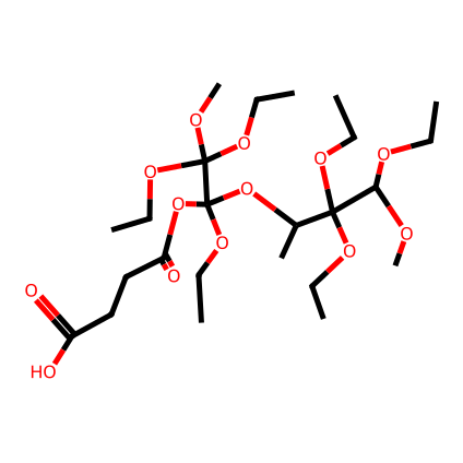 CCOC(OC)C(OCC)(OCC)C(C)OC(OCC)(OC(=O)CCC(=O)O)C(OC)(OCC)OCC